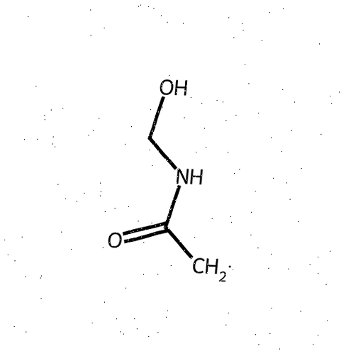 [CH2]C(=O)NCO